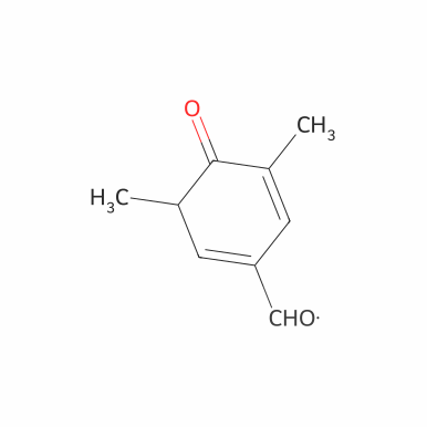 CC1=CC([C]=O)=CC(C)C1=O